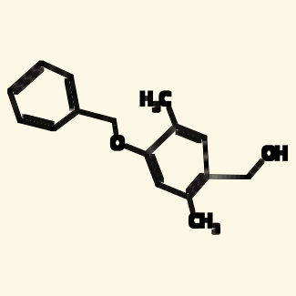 Cc1cc(OCc2ccccc2)c(C)cc1CO